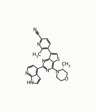 Cc1nc(C#N)ccc1-c1csc2c(N3CCOC[C@H]3C)nc(-c3ccnc4[nH]ccc34)nc12